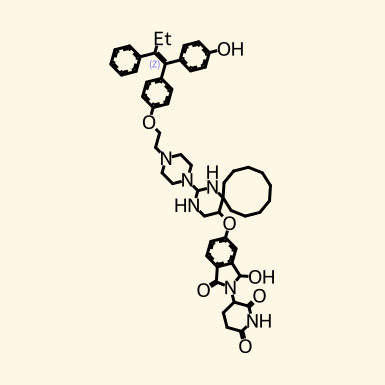 CC/C(=C(\c1ccc(O)cc1)c1ccc(OCCN2CCN(C3NCC(Oc4ccc5c(c4)C(O)N(C4CCC(=O)NC4=O)C5=O)C4(CCCCCCCCC4)N3)CC2)cc1)c1ccccc1